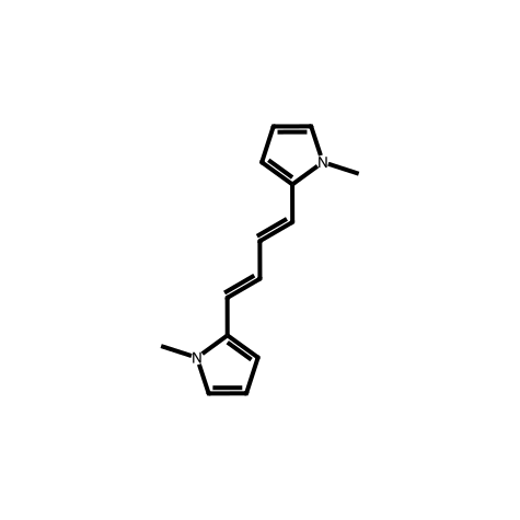 Cn1cccc1C=CC=Cc1cccn1C